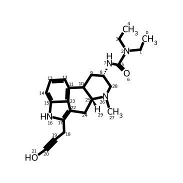 CCN(CC)C(=O)N[C@H]1CC2c3cccc4[nH]c(CC#CO)c(c34)C[C@H]2N(C)C1